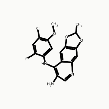 COc1cc(Nc2c(N)cnc3cc4c(cc23)OC(C)O4)c(F)cc1Cl